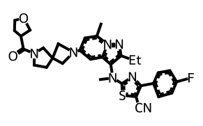 CCc1nn2c(C)cc(N3CC4(CCN(C(=O)C5CCOC5)C4)C3)cc2c1N(C)c1nc(-c2ccc(F)cc2)c(C#N)s1